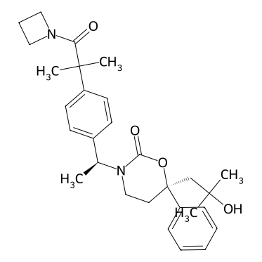 C[C@@H](c1ccc(C(C)(C)C(=O)N2CCC2)cc1)N1CC[C@](CC(C)(C)O)(c2ccccc2)OC1=O